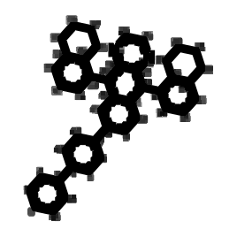 c1ccc(-c2ccc(-c3ccc4c(-c5cccc6c5CCCC6)c5nccnc5c(-c5cccc6c5CCCC6)c4c3)cc2)cc1